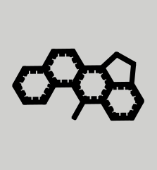 Cc1c2cccc3c2c(c2ccc4ccccc4c12)CC3